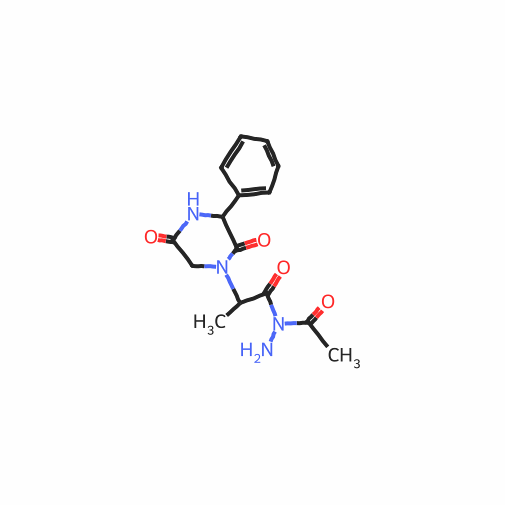 CC(=O)N(N)C(=O)C(C)N1CC(=O)NC(c2ccccc2)C1=O